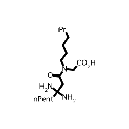 CCCCCC(N)(N)CC(=O)N(CCCCC(C)C)CC(=O)O